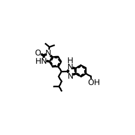 CC(C)CCC(c1ccc2c(c1)[nH]c(=O)n2C(C)C)c1nc2cc(CO)ccc2[nH]1